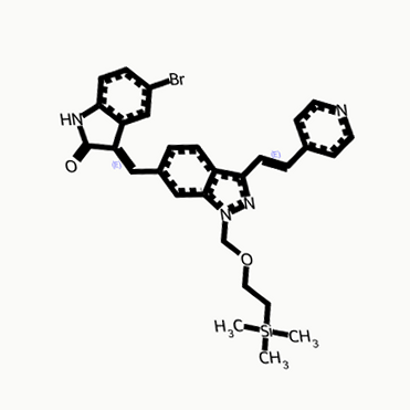 C[Si](C)(C)CCOCn1nc(/C=C/c2ccncc2)c2ccc(/C=C3/C(=O)Nc4ccc(Br)cc43)cc21